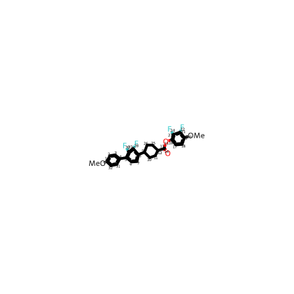 COc1ccc(-c2ccc(C3CCC(C(=O)Oc4ccc(OC)c(F)c4F)CC3)c(F)c2F)cc1